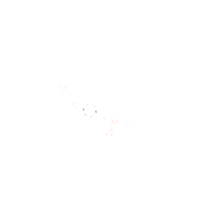 O=S(=O)(CCc1ccc(OCC2CO2)cc1)CC1CCC1